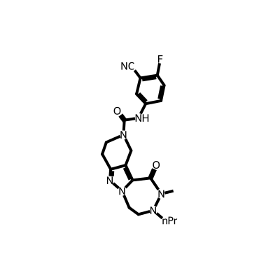 CCCN1CCn2nc3c(c2C(=O)N1C)CN(C(=O)Nc1ccc(F)c(C#N)c1)CC3